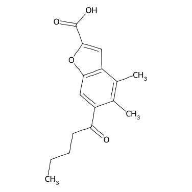 CCCCC(=O)c1cc2oc(C(=O)O)cc2c(C)c1C